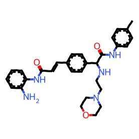 Cc1ccc(NC(=O)C(NCCN2CCOCC2)c2ccc(/C=C/C(=O)Nc3ccccc3N)cc2)cc1